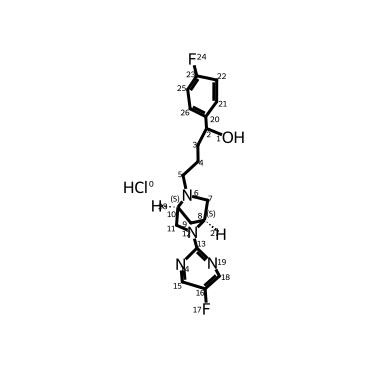 Cl.OC(CCCN1C[C@@H]2C[C@H]1CN2c1ncc(F)cn1)c1ccc(F)cc1